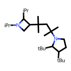 CC(C)C1C(C(C)(C)CC(C)(C)N2CCC(C(C)(C)C)C2C(C)(C)C)CN1C(C)C